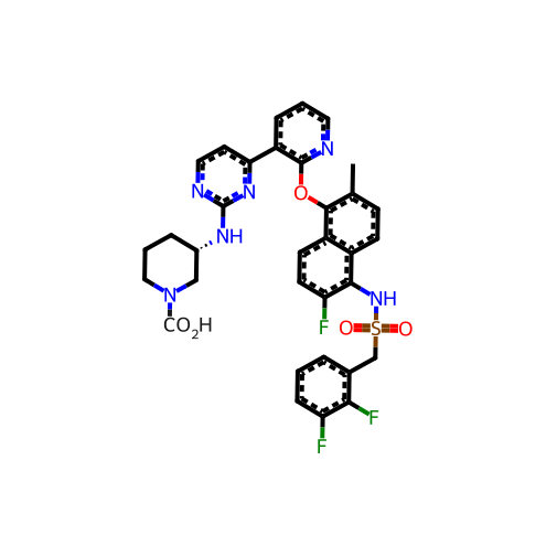 Cc1ccc2c(NS(=O)(=O)Cc3cccc(F)c3F)c(F)ccc2c1Oc1ncccc1-c1ccnc(N[C@H]2CCCN(C(=O)O)C2)n1